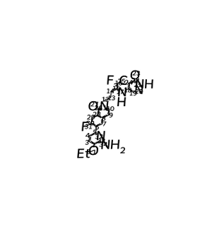 CCOc1ccc(-c2cc3ccn(CCCC(C)Nc4cn[nH]c(=O)c4C(F)(F)F)c(=O)c3cc2F)nc1N